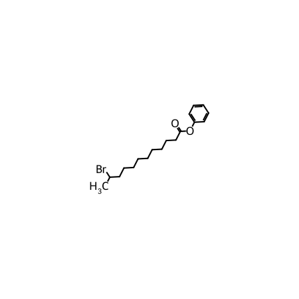 CC(Br)CCCCCCCCCC(=O)Oc1ccccc1